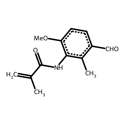 C=C(C)C(=O)Nc1c(OC)ccc(C=O)c1C